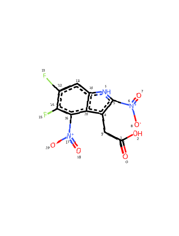 O=C(O)Cc1c([N+](=O)[O-])[nH]c2cc(F)c(F)c([N+](=O)[O-])c12